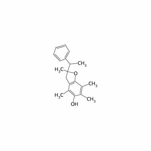 Cc1c(C)c2c(c(C)c1O)CC(C)(C(C)c1ccccc1)O2